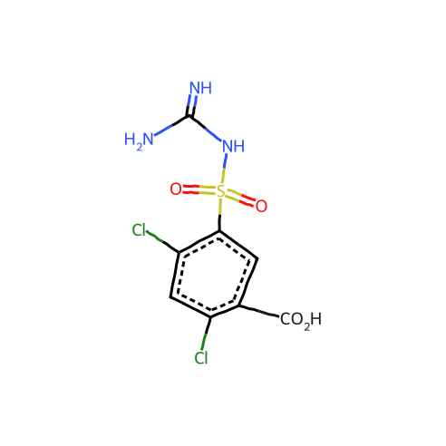 N=C(N)NS(=O)(=O)c1cc(C(=O)O)c(Cl)cc1Cl